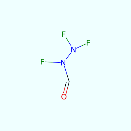 O=CN(F)N(F)F